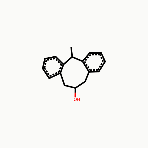 CC1c2ccccc2CC(O)Cc2ccccc21